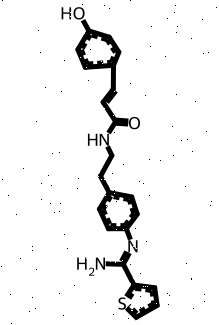 NC(=Nc1ccc(CCNC(=O)C=Cc2ccc(O)cc2)cc1)c1cccs1